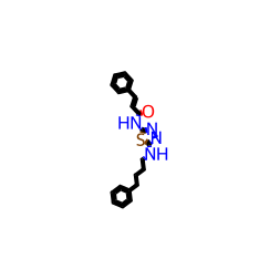 O=C(/C=C/c1ccccc1)Nc1nnc(NCCCCc2ccccc2)s1